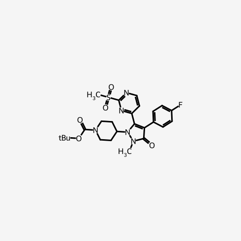 Cn1c(=O)c(-c2ccc(F)cc2)c(-c2ccnc(S(C)(=O)=O)n2)n1C1CCN(C(=O)OC(C)(C)C)CC1